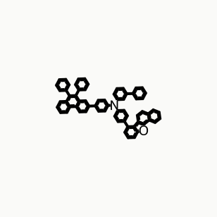 c1ccc(-c2cccc(N(c3ccc(-c4ccc5c(c4)c(-c4ccccc4)c(-c4ccccc4)c4ccccc45)cc3)c3ccc(-c4cccc5oc6c7ccccc7ccc6c45)cc3)c2)cc1